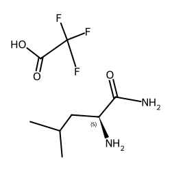 CC(C)C[C@H](N)C(N)=O.O=C(O)C(F)(F)F